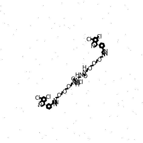 CN1Cc2c(Cl)cc(Cl)cc2[C@H](c2cccc(-c3cn(CCOCCOCCOCCNC(=O)NCCNC(=O)NCCOCCOCCOCCn4cc(-c5cccc([C@@H]6CN(C)Cc7c(Cl)cc(Cl)cc76)c5)nn4)nn3)c2)C1.Cl